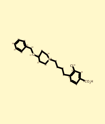 O=C(O)c1ccc(CCCCN2CCC(OCc3ccccc3)CC2)c(Cl)c1